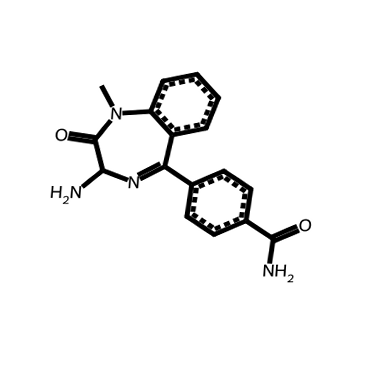 CN1C(=O)C(N)N=C(c2ccc(C(N)=O)cc2)c2ccccc21